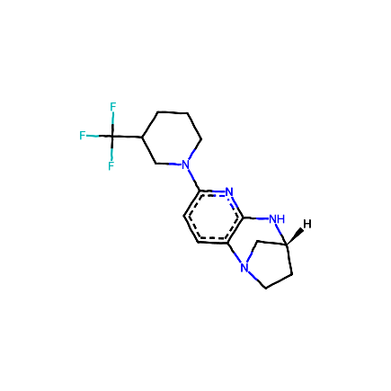 FC(F)(F)C1CCCN(c2ccc3c(n2)N[C@@H]2CCN3C2)C1